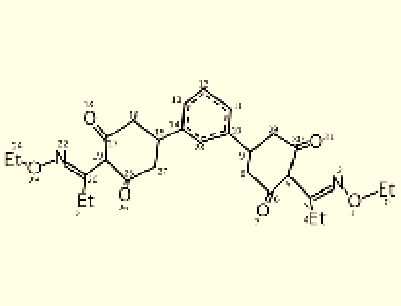 CCON=C(CC)C1C(=O)CC(c2cccc(C3CC(=O)C(C(CC)=NOCC)C(=O)C3)c2)CC1=O